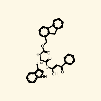 CC(=CC(=O)c1ccccc1)OC(=O)[C@H](Cc1c[nH]c2ccccc12)NC(=O)OCc1cccc2c1Cc1ccccc1-2